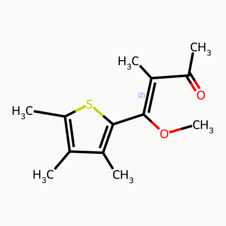 CO/C(=C(/C)C(C)=O)c1sc(C)c(C)c1C